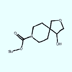 CC(C)(C)OC(=O)N1CCC2(CC1)COCC2O